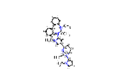 C[C@H]1N(C)c2ccccc2-c2ccccc2N1c1cc(C2CCC3CN2[C@H](C)N3c2cccn2C)cn1C